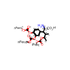 CCCCCOC(=O)Oc1ccc(C(C(C)C(C)OC(=O)OC(C)CCC)[C@H](N)C(=O)O)cc1OC(=O)OCCCCC